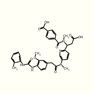 COc1cc(CC(=O)N(C)c2ccc(C(CC(=O)O)N(C)C(=O)c3ccc(C(=O)O)cc3)nc2)ccc1NC(=O)Nc1ccccc1C